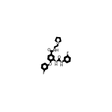 O=C(Nc1cccc(F)c1)Nc1cc(C(=O)NCCN2CCCC2)ccc1Oc1cccc(F)c1